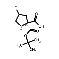 CC(C)(C)OC(=O)[C@@]1(C(=O)O)CC(F)CN1